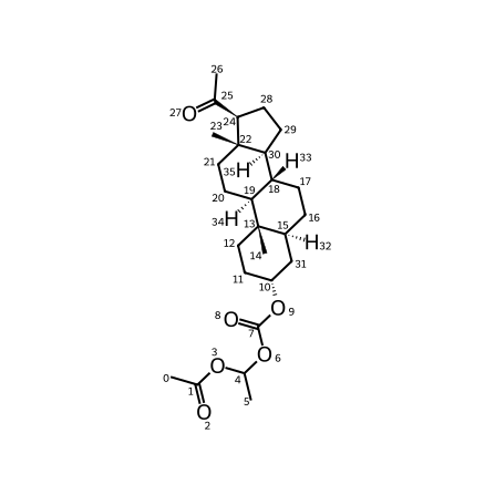 CC(=O)OC(C)OC(=O)O[C@@H]1CC[C@@]2(C)[C@@H](CC[C@@H]3[C@@H]2CC[C@]2(C)[C@@H](C(C)=O)CC[C@@H]32)C1